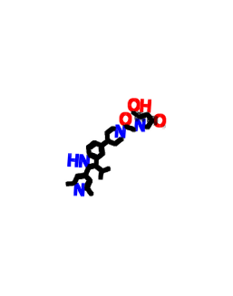 CO[C@@H]1C[C@H](CO)N(CC(=O)N2CCC(c3ccc4[nH]c(-c5cc(C)nc(C)c5)c(C(C)C)c4c3)CC2)C1